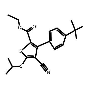 CCOC(=O)c1sc(SC(C)C)c(C#N)c1-c1ccc(C(C)(C)C)cc1